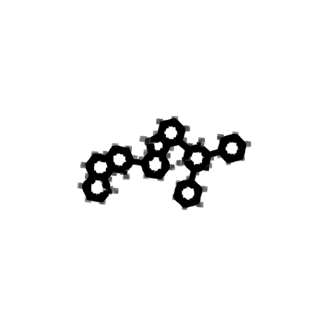 c1ccc(-c2nc(-c3ccccc3)nc(-c3cccc4oc5c(-c6ccc7ccc8cccnc8c7n6)cccc5c34)n2)cc1